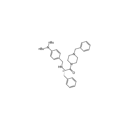 CCCCN(CCCC)c1ccc(CN[C@@H](Cc2ccccc2)C(=O)N2CCN(Cc3ccccc3)CC2)cc1